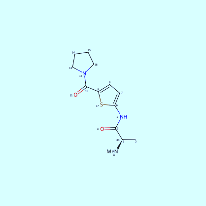 CN[C@H](C)C(=O)Nc1ccc(C(=O)N2CCCC2)s1